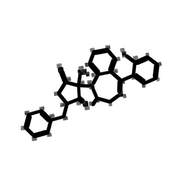 CC1CN=C(c2ccccc2F)c2ccccc2N1C1(N)C(=O)CC(Cc2ccccc2)C1=O